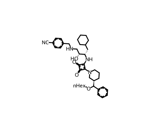 CCCCCCOC(c1ccccc1)[C@@H]1CCCN(c2c(N[C@@H](CC3CCCCC3)[C@H](O)CNCc3ccc(C#N)cc3)c(=O)c2=O)C1